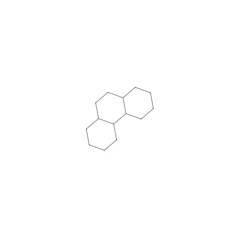 [CH]1CCC2CCC3CCCCC3C2C1